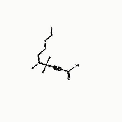 CCOCCN(C)C(C)(C)C#CC(O)=S